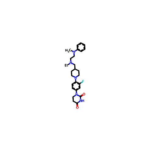 CCN(CCN(C)c1ccccc1)CC1CCN(c2ccc(N3CCC(=O)NC3=O)cc2F)CC1